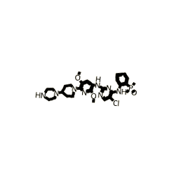 COc1cc(Nc2ncc(Cl)c(Nc3ccccc3P(C)(C)=O)n2)c(OC)nc1N1CCC(N2CCNCC2)CC1